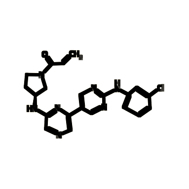 C=CC(=O)N1CC[C@H](Nc2cncc(-c3cnc(Nc4cccc(Cl)c4)nc3)n2)C1